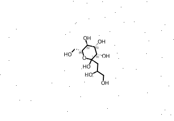 OCC(O)CC1(O)O[C@H](CO)[C@@H](O)[C@H](O)[C@@H]1O